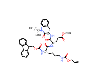 C=CCOC(=O)NCCCC[C@H](NC(=O)OCC1c2ccccc2-c2ccccc21)C(=O)N[C@@H](CCC(=O)OC(C)(C)C)C(=O)N[C@@H](Cc1ccccc1)C(=O)N[C@H](C(=O)O)[C@@H](C)CC